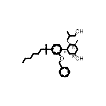 CCCCCCC(C)(C)c1ccc([C@@H]2C[C@H](O)C[C@H](C)[C@H]2CC(C)CO)c(OCc2ccccc2)c1